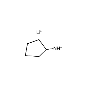 [Li+].[NH-]C1CCCC1